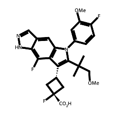 COCC(C)(C)c1c([C@H]2C[C@](F)(C(=O)O)C2)c2c(F)c3[nH]ncc3cc2n1-c1ccc(F)c(OC)c1